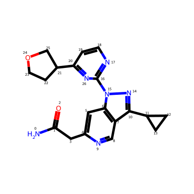 NC(=O)Cc1cc2c(cn1)c(C1CC1)nn2-c1nccc(C2CCOC2)n1